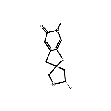 C[C@H]1C[C@@]2(CN1)Cc1cc(=O)n(C)cc1O2